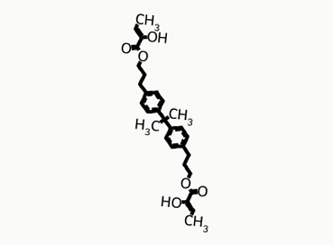 CC=C(O)C(=O)OCCCc1ccc(C(C)(C)c2ccc(CCCOC(=O)C(O)=CC)cc2)cc1